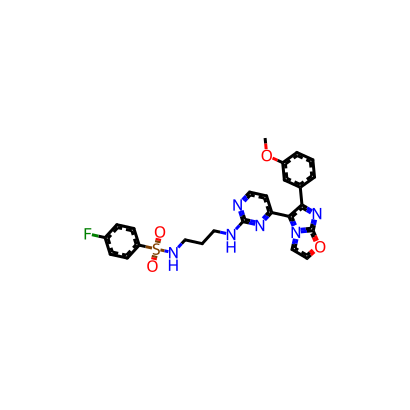 COc1cccc(-c2nc3occn3c2-c2ccnc(NCCCNS(=O)(=O)c3ccc(F)cc3)n2)c1